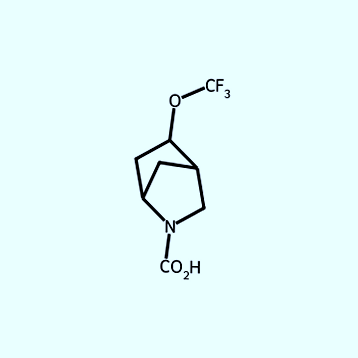 O=C(O)N1CC2CC1CC2OC(F)(F)F